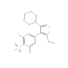 CS(=O)(=O)c1c(F)cc(-c2c(C3CCCCC3)noc2CF)cc1F